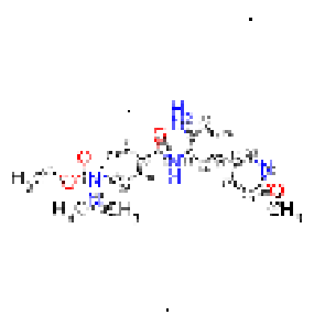 CCOC(=O)N(c1ccc(C(=O)Nc2cc(-c3ccc(OC)nc3)ccc2N)cc1)N(C)C